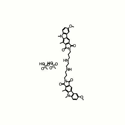 COc1ccc2c(c1)c1cc3c(c(C)c1n2C)C(=O)N(CCCNCCNCCCN1C(=O)c2cc4c5cc(OC)ccc5n(C)c4c(C)c2C1=O)C3=O.CS(=O)(=O)O.CS(=O)(=O)O